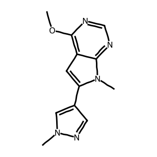 COc1ncnc2c1cc(-c1cnn(C)c1)n2C